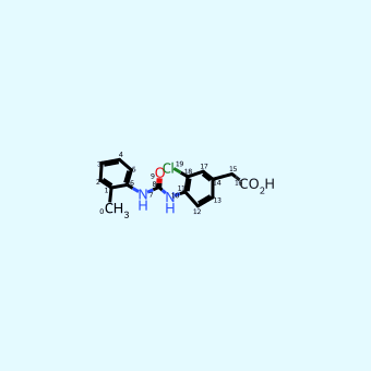 Cc1ccccc1NC(=O)Nc1ccc(CC(=O)O)cc1Cl